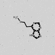 CSCCc1ncnc2nc[nH]c12